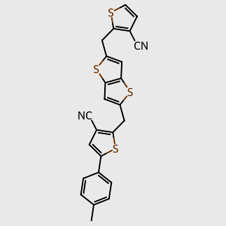 Cc1ccc(-c2cc(C#N)c(Cc3cc4sc(Cc5sccc5C#N)cc4s3)s2)cc1